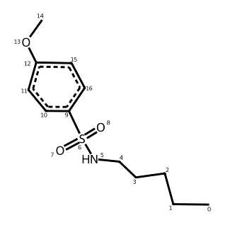 CCCCCNS(=O)(=O)c1ccc(OC)cc1